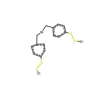 CCSSc1ccc([CH2][Ni][CH2]c2ccc(SSCC)cc2)cc1